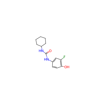 O=C(Nc1ccc(O)c(F)c1)NC1CCCCC1